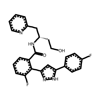 O=C(N[C@@H](CCO)Cc1ccccn1)c1cccc(F)c1-c1cc(-c2ccc(F)cc2)[nH]n1